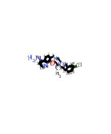 CC1C(=O)N(Cc2ccc3c(N)ccnc3c2)CCN1Cc1cc2ccc(Cl)cc2cn1